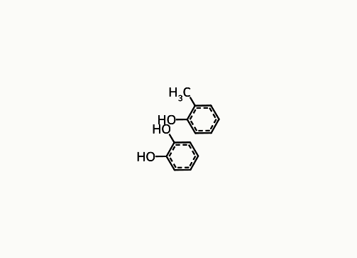 Cc1ccccc1O.Oc1ccccc1O